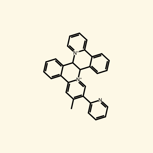 Cc1cc2[n+](cc1-c1ccccn1)C1c3ccccc3-c3cccc[n+]3C1c1ccccc1-2